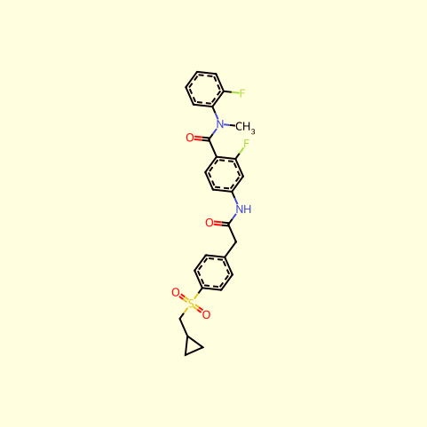 CN(C(=O)c1ccc(NC(=O)Cc2ccc(S(=O)(=O)CC3CC3)cc2)cc1F)c1ccccc1F